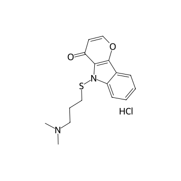 CN(C)CCCSn1c2ccccc2c2occc(=O)c21.Cl